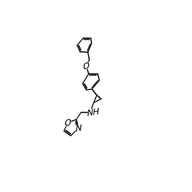 c1ccc(COc2ccc(C3CC3NCc3ncco3)cc2)cc1